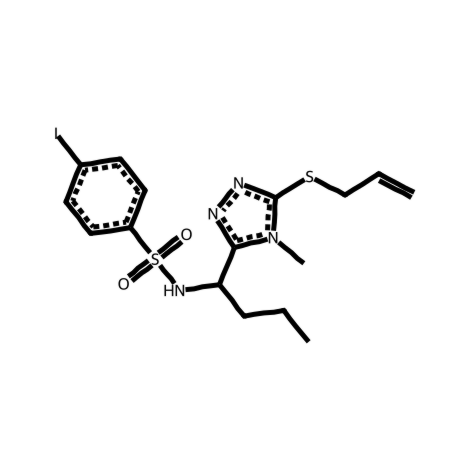 C=CCSc1nnc(C(CCC)NS(=O)(=O)c2ccc(I)cc2)n1C